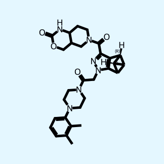 Cc1cccc(N2CCN(C(=O)Cn3nc(C(=O)N4CCC5NC(=O)OCC5C4)c4c3C3C5[C@H]3[C@H]45)CC2)c1C